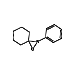 c1ccc(N2OC23CCCCC3)cc1